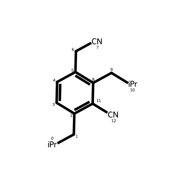 CC(C)Cc1ccc(CC#N)c(CC(C)C)c1C#N